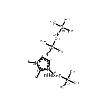 CCCCCCn1cc[n+](C)c1C.F[B-](F)(F)F.F[B-](F)(F)F.F[B-](F)(F)F